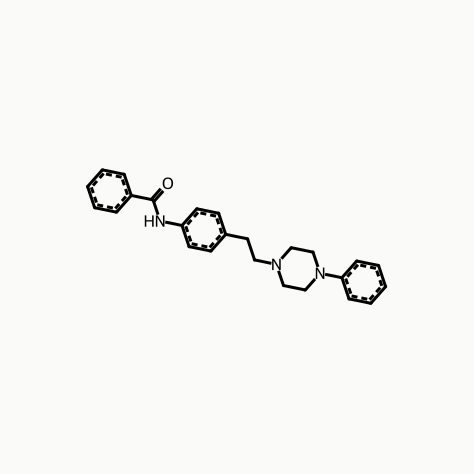 O=C(Nc1ccc(CCN2CCN(c3ccccc3)CC2)cc1)c1ccccc1